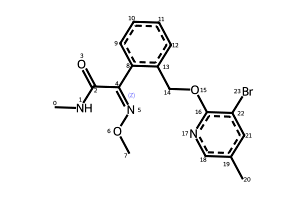 CNC(=O)/C(=N\OC)c1ccccc1COc1ncc(C)cc1Br